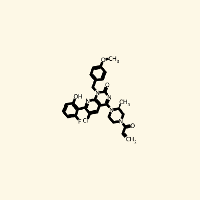 C=CC(=O)N1CCN(c2nc(=O)n(Cc3ccc(OC)cc3)c3nc(-c4c(O)cccc4F)c(Cl)cc23)[C@@H](C)C1